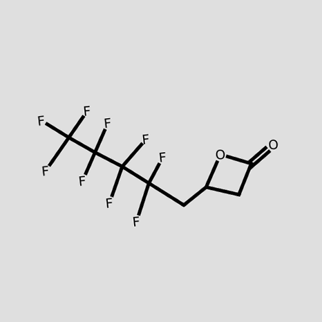 O=C1CC(CC(F)(F)C(F)(F)C(F)(F)C(F)(F)F)O1